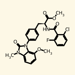 COC(=O)[C@H](Cc1ccc(-n2c(=O)n(C)c3cccc(OC)c32)cc1)NC(=O)c1c(F)cccc1Cl